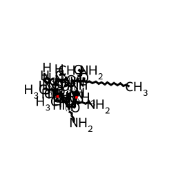 CCCCCCCCCCCCCCCC(=O)N[C@@H](CCC(N)=O)C(=O)N[C@@H](Cc1cnc[nH]1)C(=O)N[C@@H](CC(C)C)C(=O)N[C@@H](Cc1cnc[nH]1)C(=O)N[C@H](C(=O)N[C@@H](C)C(=O)N[C@@H](CC(C)C)C(=O)N[C@@H](CCCCN)C(=O)N[C@H](C)CCCCN)[C@@H](C)CC